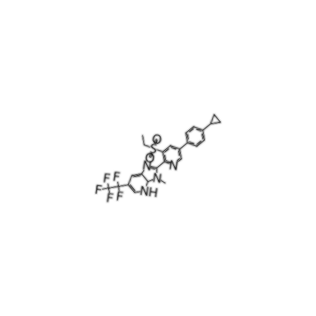 CCS(=O)(=O)c1cc(-c2ccc(C3CC3)cc2)cnc1C1=NC2=CC(C(F)(F)C(F)(F)F)=CNC2N1C